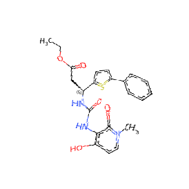 CCOC(=O)C[C@H](NC(=O)Nc1c(O)ccn(C)c1=O)c1ccc(-c2ccccc2)s1